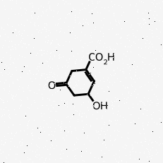 O=C1CC(C(=O)O)=CC(O)C1